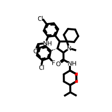 CC(C)C12CCC(NC(=O)C3[C@H](c4cccc(Cl)c4F)C(c4ccc(Cl)cc4NC=O)C4(CCCCC4)N3C)(CC1)CC2